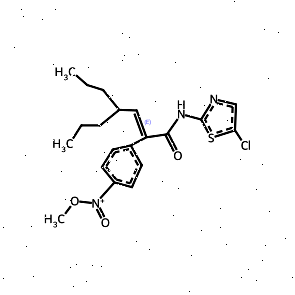 CCCC(/C=C(/C(=O)Nc1ncc(Cl)s1)c1ccc([N+](=O)OC)cc1)CCC